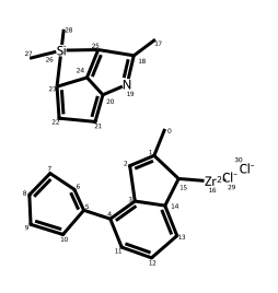 CC1=Cc2c(-c3ccccc3)cccc2[CH]1[Zr+2].CC1=NC2=CC=C3C2=C1[Si]3(C)C.[Cl-].[Cl-]